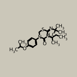 CCC(C)N1C(=O)N(c2ccc(OC(C)C)cc2)CSC1=NC(C)(C)C